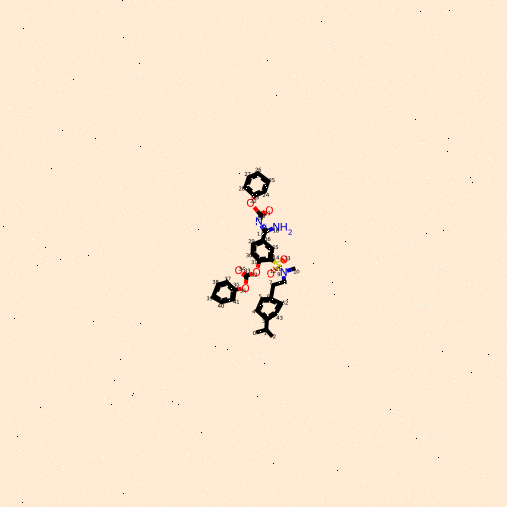 CC(C)c1ccc(CCN(C)S(=O)(=O)c2cc(/C(N)=N/C(=O)Oc3ccccc3)ccc2OC(=O)Oc2ccccc2)cc1